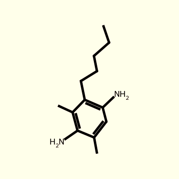 CCCCCc1c(N)cc(C)c(N)c1C